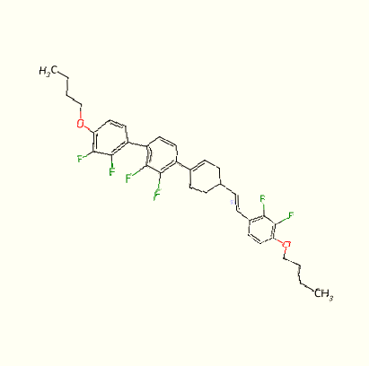 CCCCOc1ccc(/C=C/C2CC=C(c3ccc(-c4ccc(OCCCC)c(F)c4F)c(F)c3F)CC2)c(F)c1F